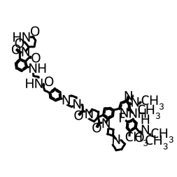 Cc1cc(F)c(Nc2nc(-c3ccc4c(c3)N(C3CC(N5CCCCC5)C3)C(=O)C43CCN(C(=O)CN4CCN(c5ccc(CC(=O)NCCNc6cccc7c6C(=O)N(C6CCC(=O)NC6=O)C7=O)cc5)CC4)CC3)cc3ncn(C(C)C)c23)cc1C(=O)NC(C)C